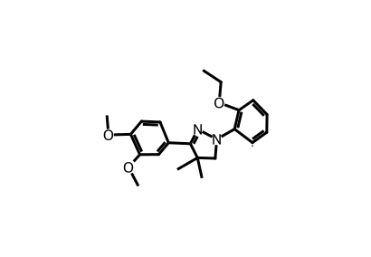 CCOc1ccc[c]c1N1CC(C)(C)C(c2ccc(OC)c(OC)c2)=N1